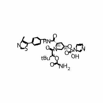 Cc1ncsc1-c1ccc(CNC(=O)[C@@H]2C[C@@H](OP(=O)(O)n3ccnc3)CN2C(=O)[C@@H](OC(N)=O)C(C)(C)C)cc1